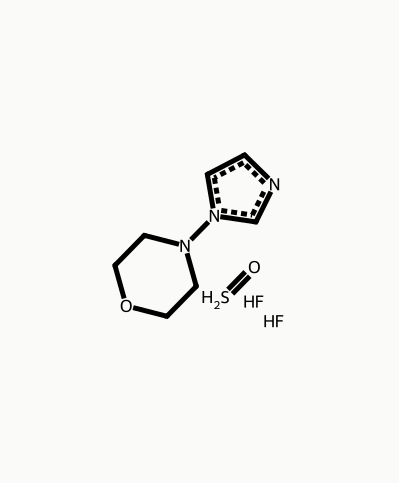 F.F.O=[SH2].c1cn(N2CCOCC2)cn1